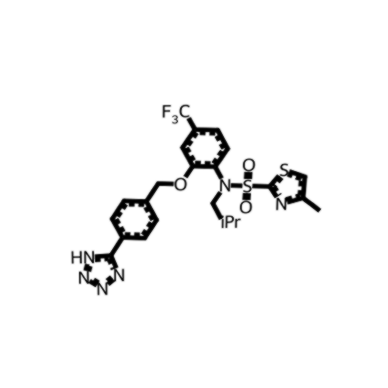 Cc1csc(S(=O)(=O)N(CC(C)C)c2ccc(C(F)(F)F)cc2OCc2ccc(-c3nnn[nH]3)cc2)n1